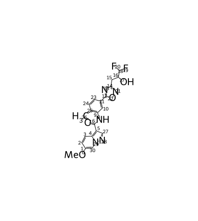 COc1ccc2c(C(=O)Nc3cc(-c4nc(CC(O)C(F)F)no4)ccc3C)cnn2c1